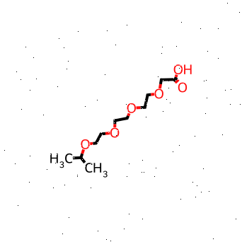 CC(C)OCCOCCOCCOCC(=O)O